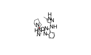 Cc1cc(Nc2nc(NC3CC4CCC(C3)N4C(=O)CN(C)C)nc3ccccc23)n[nH]1